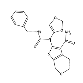 NC(=O)c1c(N(C(=O)NCc2ccccc2)C2=COCO2)sc2c1CCOC2